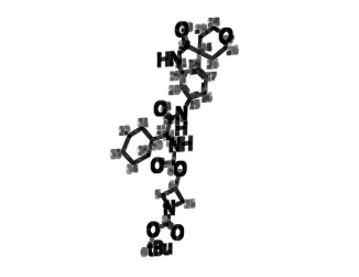 CC(C)(C)OC(=O)N1CC(OC(=O)N[C@H](C(=O)Nc2ccc3c(c2)NC(=O)C32CCOCC2)C2CCCCC2)C1